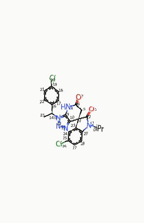 CC(C)N1C(=O)[C@]2(CC(=O)Nc3c2nnn3C(C)c2ccc(Cl)cc2)c2cc(Cl)ccc21